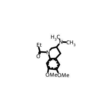 CCC(=O)N1CC(N(C)C)Cc2cc(OC)c(OC)cc21